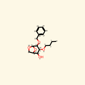 CCCCO[C@H]1C(O)C2COC(O2)C1OCc1ccccc1